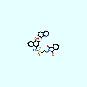 O=C1c2ccccc2C(=O)N1CCCS(=O)(=O)Nc1cc(Sc2cccc3cccnc23)c(O)c2ccccc12